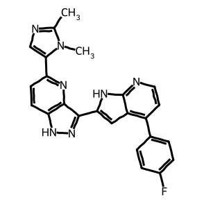 Cc1ncc(-c2ccc3[nH]nc(-c4cc5c(-c6ccc(F)cc6)ccnc5[nH]4)c3n2)n1C